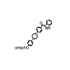 CCCCCCCOc1ccc(N2CCN(c3ccc(C(=O)n4nnc5ccccc54)cc3)CC2)cc1